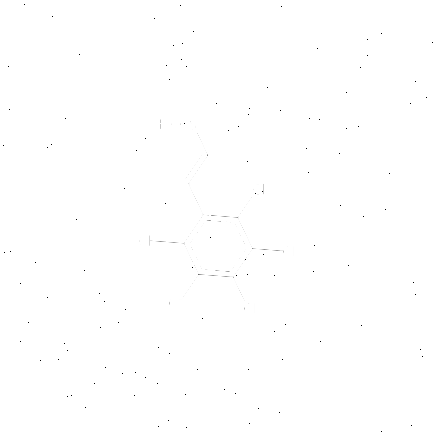 O=S(=O)(O)C=Cc1c(Cl)c(Cl)c(Cl)c(Cl)c1Cl